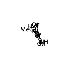 COc1cc(C(=O)N2CC3CCC2C3N)cc2nc(-c3cc4ccc(-c5ccc6c(c5)C(C)(O)C(=O)N6)nc4n3CC3CC3)n(C)c12